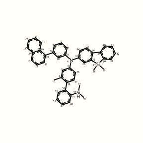 Cc1cc(N(c2cccc(-c3cccc4ccccc34)c2)c2ccc3c(c2)[Si](C)(C)c2ccccc2-3)ccc1-c1ccccc1[SiH](C)C